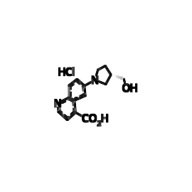 Cl.O=C(O)c1ccnc2ccc(N3CC[C@H](CO)C3)cc12